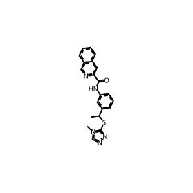 CC(Sc1nncn1C)c1cccc(NC(=O)c2cc3ccccc3cn2)c1